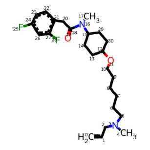 C=CCN(C)CCCCCCOC1CCC(N(C)C(=O)Cc2ccc(F)cc2F)CC1